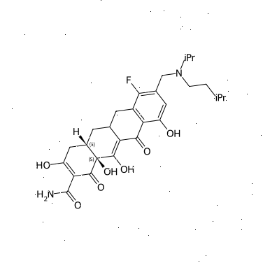 CC(C)CCN(Cc1cc(O)c2c(c1F)CC1C[C@H]3CC(O)=C(C(N)=O)C(=O)[C@@]3(O)C(O)=C1C2=O)C(C)C